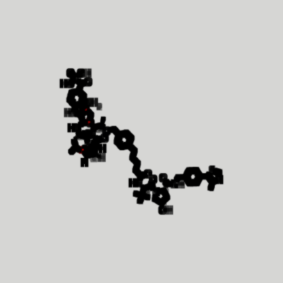 Cc1ncsc1-c1ccc(CNC(=O)[C@@H]2C[C@@H](O)CN2C(=O)[C@@H](NC(=O)CCCCc2ccc(CO[C@H](C)[C@H](CCC(N)=O)NC(=O)[C@@H]3[C@H]4[C@H]5C(N3C(=O)[C@H](CC(C)C)NC(=O)c3cc6cc(C(=O)P(=O)(O)O)ccc6[nH]3)[C@@]45C)cc2)C(C)(C)C)cc1